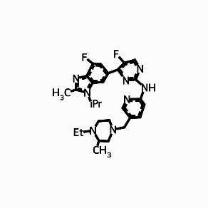 CCN1CCN(Cc2ccc(Nc3ncc(F)c(-c4cc(F)c5nc(C)n(C(C)C)c5c4)n3)nc2)CC1C